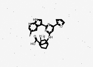 O=C(O)[C@H]1C2CCC(CC2)[C@@H]1Nc1cc(-c2ccco2)nc(-c2c[nH]c3ncc(F)cc23)n1